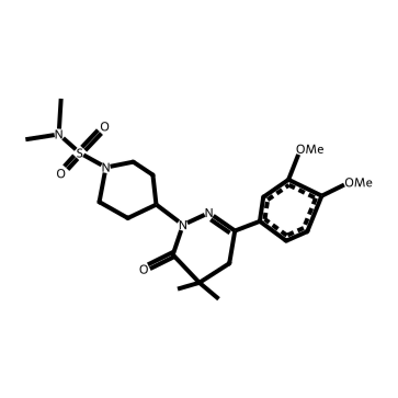 COc1ccc(C2=NN(C3CCN(S(=O)(=O)N(C)C)CC3)C(=O)C(C)(C)C2)cc1OC